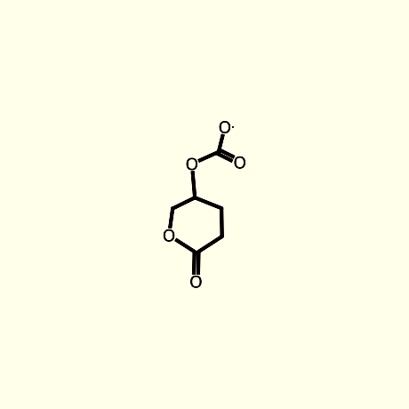 [O]C(=O)OC1CCC(=O)OC1